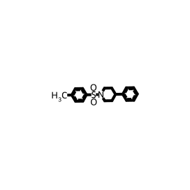 Cc1ccc(S(=O)(=O)N2CCC(c3ccccc3)CC2)cc1